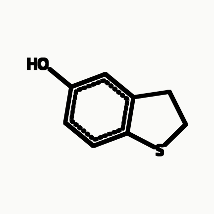 Oc1ccc2c(c1)CCS2